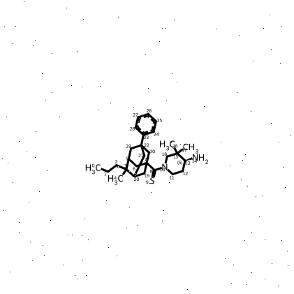 CCCC1(C)C2CC3(C(=S)N4CC[C@H](N)C(C)(C)C4)CC1CC(c1ccccc1)(C2)C3